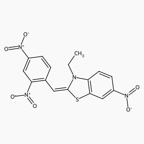 CCN1C(=Cc2ccc([N+](=O)[O-])cc2[N+](=O)[O-])Sc2cc([N+](=O)[O-])ccc21